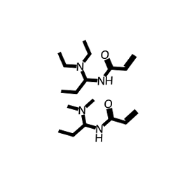 C=CC(=O)NC(CC)N(C)C.C=CC(=O)NC(CC)N(CC)CC